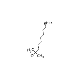 CCCCCCCCCCCCCC(C)(C)[O]